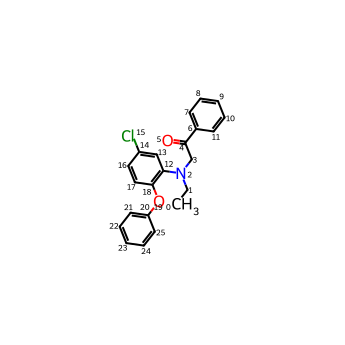 CCN(CC(=O)c1ccccc1)c1cc(Cl)ccc1Oc1ccccc1